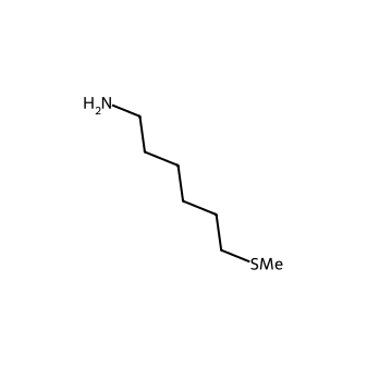 CSCCCCCCN